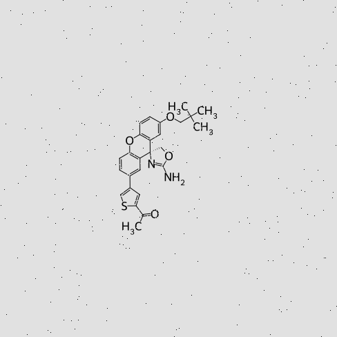 CC(=O)c1cc(-c2ccc3c(c2)[C@@]2(COC(N)=N2)c2cc(OCC(C)(C)C)ccc2O3)cs1